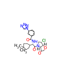 CC1(C)CCC([C@H](NC(=O)c2cccc(-n3cnnn3)c2)C(=O)N2C[C@H](Cl)[C@H]3OCC(=O)[C@H]32)CC1